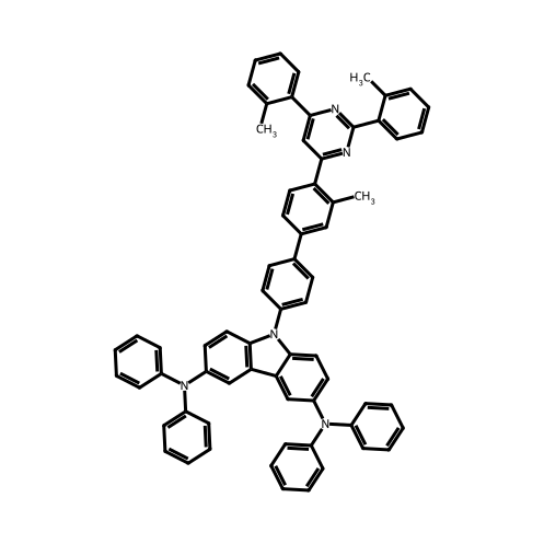 Cc1ccccc1-c1cc(-c2ccc(-c3ccc(-n4c5ccc(N(c6ccccc6)c6ccccc6)cc5c5cc(N(c6ccccc6)c6ccccc6)ccc54)cc3)cc2C)nc(-c2ccccc2C)n1